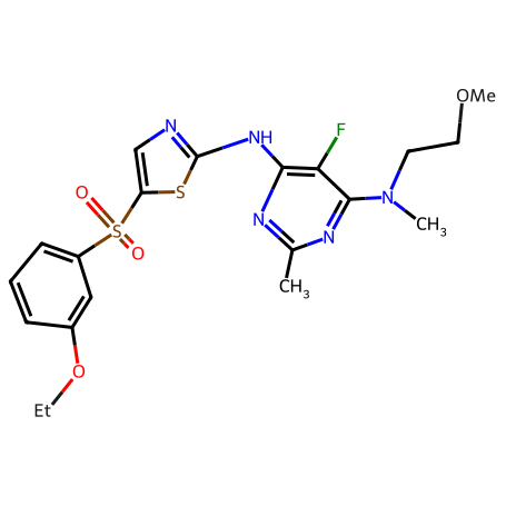 CCOc1cccc(S(=O)(=O)c2cnc(Nc3nc(C)nc(N(C)CCOC)c3F)s2)c1